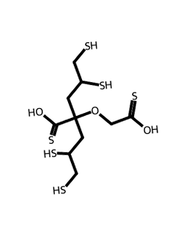 OC(=S)COC(CC(S)CS)(CC(S)CS)C(O)=S